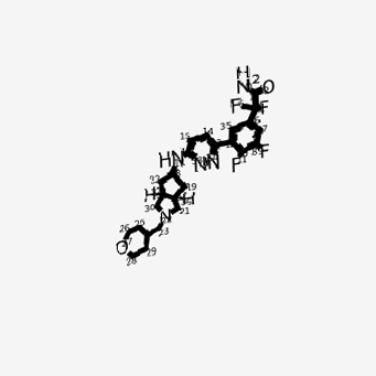 NC(=O)C(F)(F)c1cc(F)c(F)c(-c2ccc(NC3C[C@@H]4CN(CC5CCOCC5)C[C@@H]4C3)nn2)c1